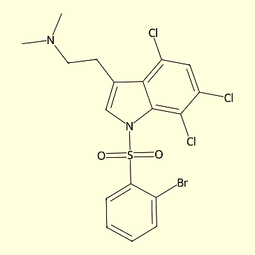 CN(C)CCc1cn(S(=O)(=O)c2ccccc2Br)c2c(Cl)c(Cl)cc(Cl)c12